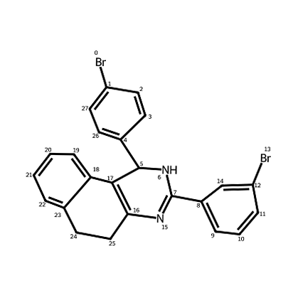 Brc1ccc(C2NC(c3cccc(Br)c3)=NC3=C2c2ccccc2CC3)cc1